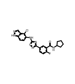 O=C(NC1CCCC1)c1cc(-c2nsc(Nc3ccc4[nH]ncc4c3Cl)n2)ccc1F